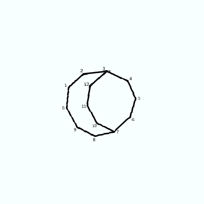 C1CC[C]2CCCC(CC1)CCC2